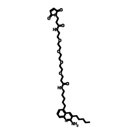 CCCCCc1cc2c(CCCCCNC(=O)CCOCCOCCOCCOCCNC(=O)CCN3C(=O)C=CC3=O)cccc2nc1N